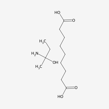 CCC(C)(N)O.O=C(O)CCCCCCCC(=O)O